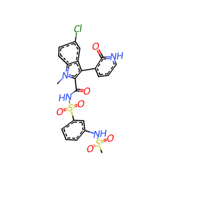 Cn1c(C(=O)NS(=O)(=O)c2cccc(NS(C)(=O)=O)c2)c(-c2ccc[nH]c2=O)c2cc(Cl)ccc21